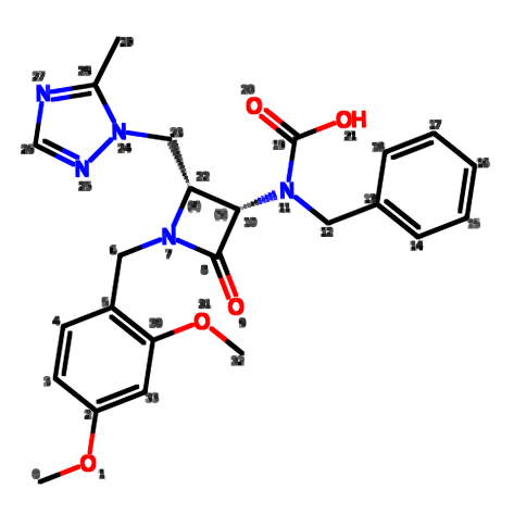 COc1ccc(CN2C(=O)[C@@H](N(Cc3ccccc3)C(=O)O)[C@H]2Cn2ncnc2C)c(OC)c1